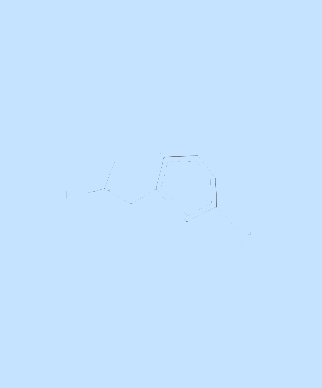 CC(Cc1cccc(C(C)(C)C)c1)C(F)(F)F